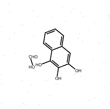 O=CO.Oc1cc2ccccc2c(O)c1O